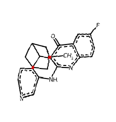 CN1CC2CC(C1)C2n1c(Nc2cccnc2)nc2ccc(F)cc2c1=O